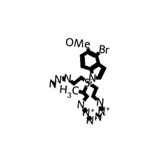 COc1ccc2c(ccn2[Si](CCN=[N+]=[N-])(CCN=[N+]=[N-])C(C)CN=[N+]=[N-])c1Br